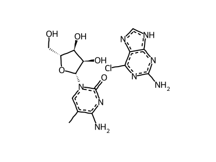 Cc1cn([C@@H]2O[C@H](CO)[C@@H](O)[C@H]2O)c(=O)nc1N.Nc1nc(Cl)c2nc[nH]c2n1